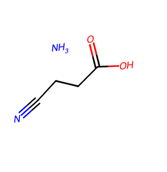 N.N#CCCC(=O)O